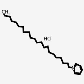 CCCCCCCCCCCCCCCCCCCCCC[n+]1ccccc1.Cl